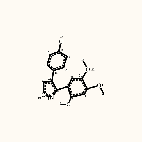 COc1cc(OC)c(-c2nocc2-c2ccc(Cl)cc2)cc1OC